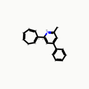 Cc1cc(-c2ccccc2)cc(C2=CCC=CC=C2)n1